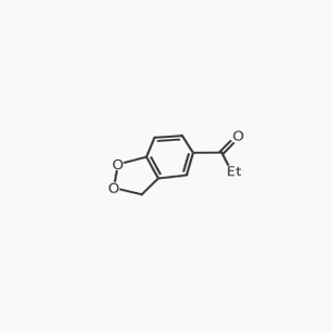 CCC(=O)c1ccc2c(c1)COO2